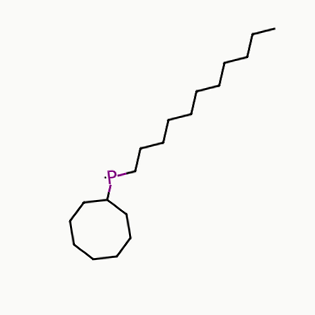 CCCCCCCCCCC[P]C1CCCCCCC1